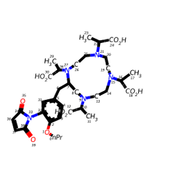 CCCOc1ccc(CC2CN(C(C)C(=O)O)CCN(C(C)C(=O)O)CCN(C(C)C(=O)O)CCN2C(C)C(=O)O)cc1N1C(=O)C=CC1=O